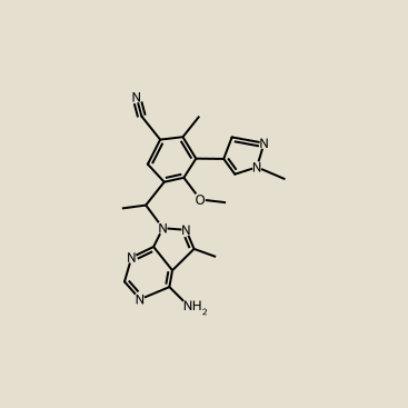 COc1c(C(C)n2nc(C)c3c(N)ncnc32)cc(C#N)c(C)c1-c1cnn(C)c1